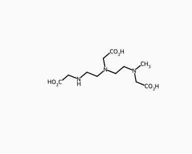 CN(CCN(CCNCC(=O)O)CC(=O)O)CC(=O)O